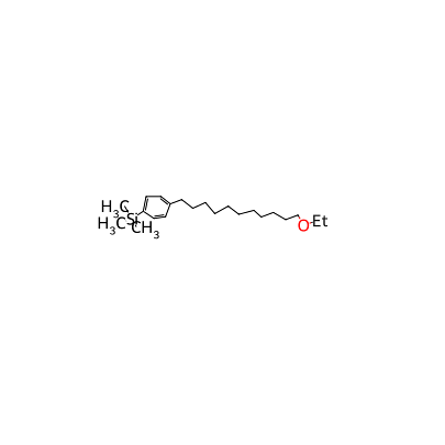 CCOCCCCCCCCCCCc1ccc([Si](C)(C)C)cc1